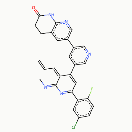 C=C/C=C1/C(c2cncc(-c3cnc4c(c3)CCC(=O)N4)c2)=CC(c2cc(Cl)ccc2F)=N/C1=N/C